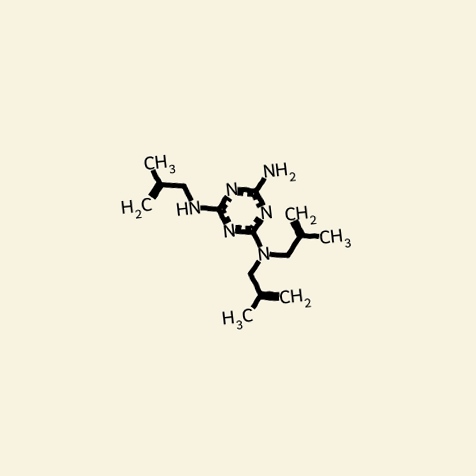 C=C(C)CNc1nc(N)nc(N(CC(=C)C)CC(=C)C)n1